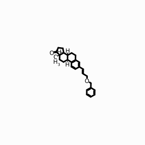 C[C@]12CC[C@@H]3c4ccc(/C=C/COCc5ccccc5)cc4CC[C@H]3[C@@H]1CCC2=O